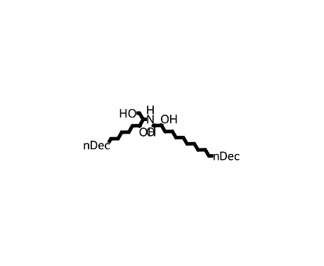 CCCCCCCCCCCCCCCCCCCC(O)C(=O)NC(CO)C(O)CCCCCCCCCCCCCCC